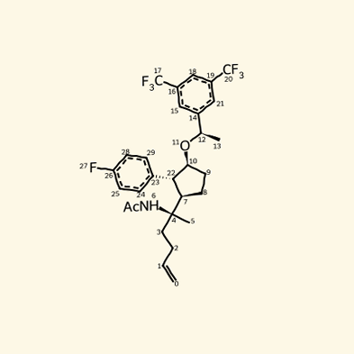 C=CCC[C@](C)(NC(C)=O)[C@@H]1CC[C@H](O[C@H](C)c2cc(C(F)(F)F)cc(C(F)(F)F)c2)[C@H]1c1ccc(F)cc1